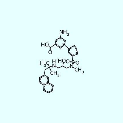 CN(C[C@H](O)CNC(C)(C)Cc1ccc2ccccc2c1)S(=O)(=O)c1cccc(-c2cc(N)cc(C(=O)O)c2)c1